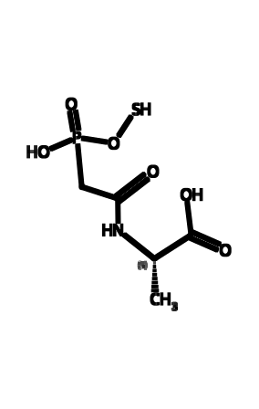 C[C@H](NC(=O)CP(=O)(O)OS)C(=O)O